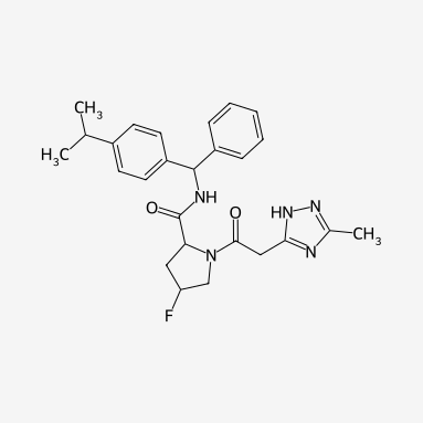 Cc1n[nH]c(CC(=O)N2CC(F)CC2C(=O)NC(c2ccccc2)c2ccc(C(C)C)cc2)n1